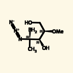 B[C@](C)(N=[N+]=[N-])[C@H](O)[C@@H](CO)OC